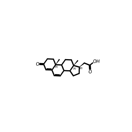 C[C@]12CCC(=O)C=C1C=CC1C2CC[C@@]2(C)C1CC[C@@H]2CC(=O)O